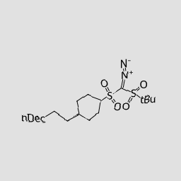 CCCCCCCCCCCCC1CCC(S(=O)(=O)C(=[N+]=[N-])S(=O)(=O)C(C)(C)C)CC1